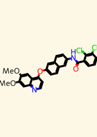 COc1cc2nccc(Oc3ccc4cc(NC(=O)c5cccc(Cl)c5Cl)ccc4c3)c2cc1OC